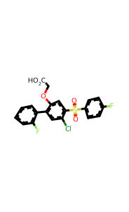 O=C(O)COc1cc(S(=O)(=O)c2ccc(F)cc2)c(Cl)cc1-c1ccccc1F